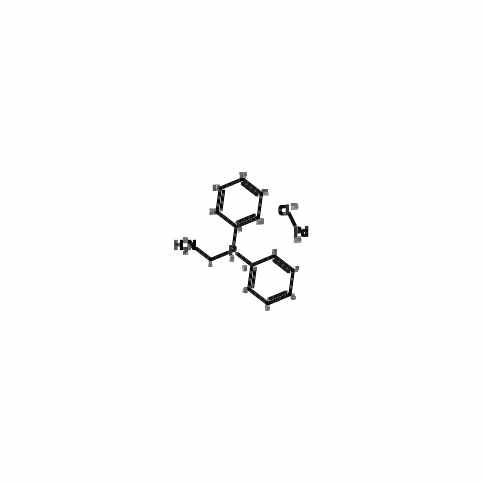 NCP(c1ccccc1)c1ccccc1.[Cl][Pd]